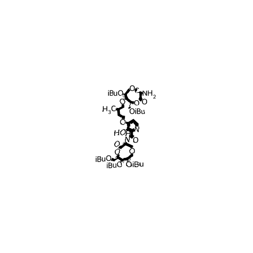 CC(C)COC[C@H]1OC(=O)[C@@H](NC(=O)c2nccc(OCCC(C)CO[C@@H]3[C@@H](OCC(C)C)COC[C@H](N)C(=O)O[C@@H]3COCC(C)C)c2O)COC[C@H](OCC(C)C)[C@H]1OCC(C)C